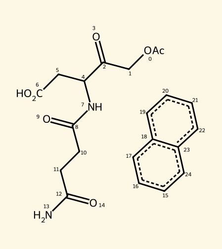 CC(=O)OCC(=O)C(CC(=O)O)NC(=O)CCC(N)=O.c1ccc2ccccc2c1